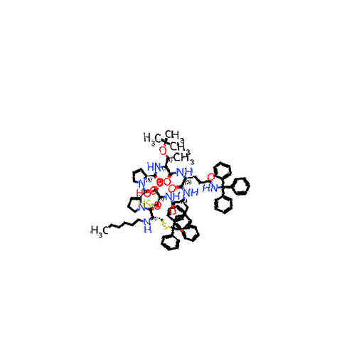 CCCCCCN[C@@H](CSC(c1ccccc1)(c1ccccc1)c1ccccc1)C(=O)N1CCC[C@H]1C(=O)N1CCC[C@H]1C(=O)N[C@H](C(=O)N[C@@H](CCC(=O)NC(c1ccccc1)(c1ccccc1)c1ccccc1)C(=O)N[C@@H](Cc1ccccc1)C(=O)N[C@@H](CS)C(=O)O)[C@@H](C)OC(C)(C)C